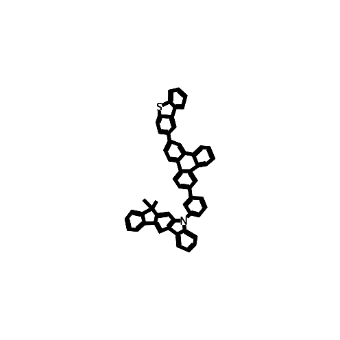 CC1(C)c2ccccc2-c2cc3c4ccccc4n(-c4cccc(-c5ccc6c7ccc(-c8ccc9sc%10ccccc%10c9c8)cc7c7ccccc7c6c5)c4)c3cc21